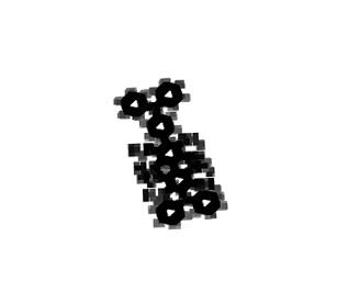 Bc1c(B)c(-c2c(B)c(B)c(N(c3ccccc3)c3ccccc3)c(B)c2B)c(B)c(B)c1-c1ccc(N(c2ccccc2)c2ccccc2)cc1